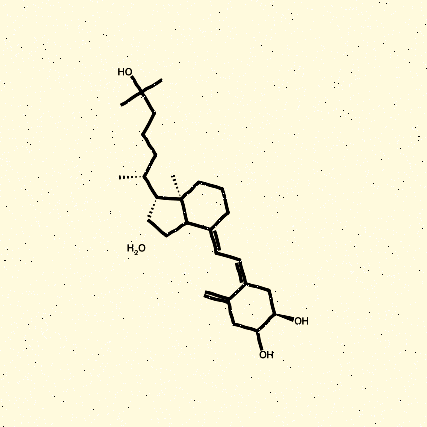 C=C1CC(O)[C@H](O)C/C1=C/C=C1\CCC[C@@]2(C)C1CC[C@@H]2[C@H](C)CCCC(C)(C)O.O